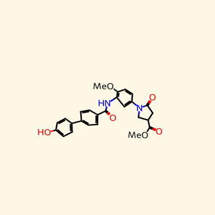 COC(=O)C1CC(=O)N(c2ccc(OC)c(NC(=O)c3ccc(-c4ccc(O)cc4)cc3)c2)C1